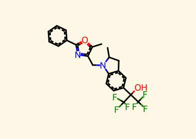 Cc1oc(-c2ccccc2)nc1CN1c2ccc(C(O)(C(F)(F)F)C(F)(F)F)cc2CC1C